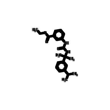 CCOC(=O)c1cccc(NC(=O)NC(C)(C)c2cccc(C(C)C)c2)c1